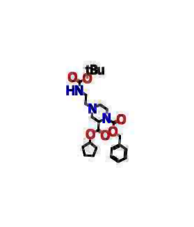 CC(C)(C)OC(=O)NCCN1CCN(C(=O)OCc2ccccc2)C(C(=O)OC2CCCC2)C1